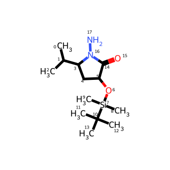 CC(C)C1CC(O[Si](C)(C)C(C)(C)C)C(=O)N1N